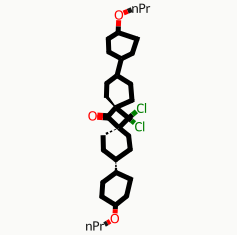 CCCOC1CCC(C2CC[C@]3(CC2)C(=O)[C@@]2(CC[C@@H](C4CCC(OCCC)CC4)CC2)C3(Cl)Cl)CC1